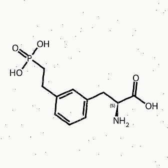 N[C@@H](Cc1cccc(CCP(=O)(O)O)c1)C(=O)O